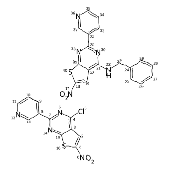 O=[N+]([O-])c1cc2c(Cl)nc(-c3cccnc3)nc2s1.O=[N+]([O-])c1cc2c(NCc3ccccc3)nc(-c3cccnc3)nc2s1